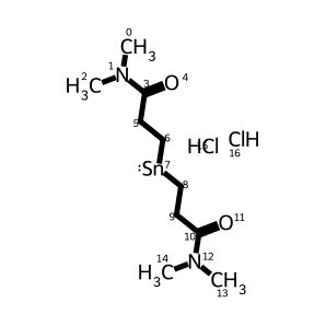 CN(C)C(=O)C[CH2][Sn][CH2]CC(=O)N(C)C.Cl.Cl